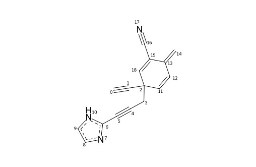 C#CC1(CC#Cc2ncc[nH]2)C=CC(=C)C(C#N)=C1